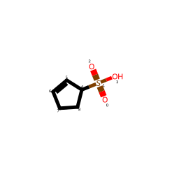 O=S(=O)(O)C1C=CCC1